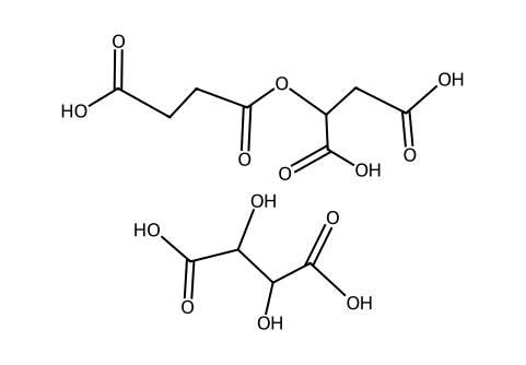 O=C(O)C(O)C(O)C(=O)O.O=C(O)CCC(=O)OC(CC(=O)O)C(=O)O